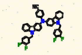 N#Cc1ccc(N(c2ccc3c(c2)c2c(n3Cc3ccc(F)c(F)c3)CCC=C2)c2ccc3c(c2)c2ccccc2n3Cc2ccc(F)c(F)c2)cc1